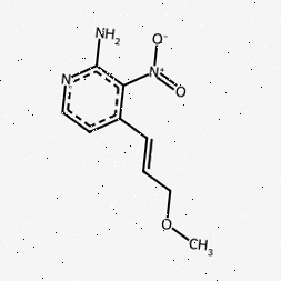 COCC=Cc1ccnc(N)c1[N+](=O)[O-]